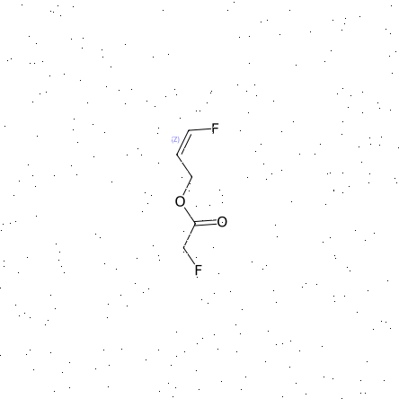 O=C(CF)OC/C=C\F